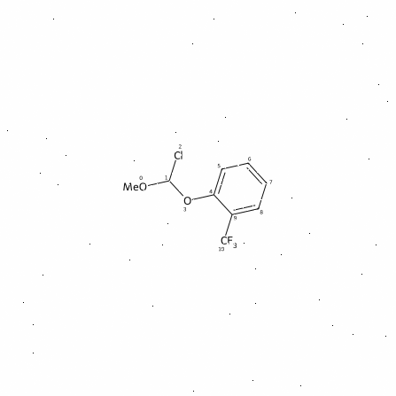 COC(Cl)Oc1ccccc1C(F)(F)F